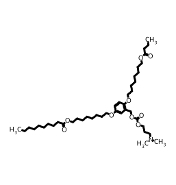 CCCCCCCCCC(=O)OCCCCCCCCOc1ccc(OCCCCCCCCOC(=O)CCC)c(COC(=O)OCCCN(C)C)c1